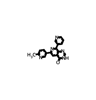 Cc1ccc(-c2cc3c(=O)[nH]cnc3c(-c3cccnc3)n2)cn1